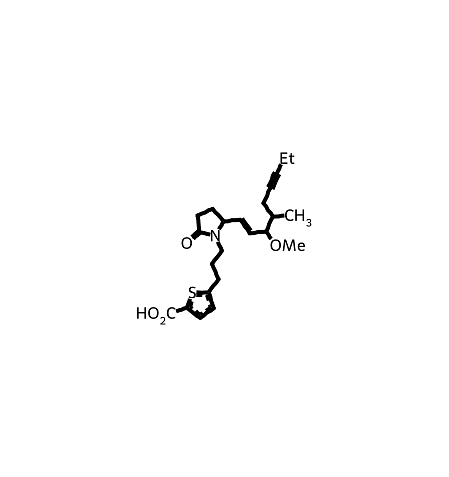 CCC#CCC(C)C(/C=C/C1CCC(=O)N1CCCc1ccc(C(=O)O)s1)OC